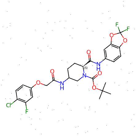 CC(C)(C)OC(=O)N1CC(NC(=O)COc2ccc(Cl)c(F)c2)CC[C@H]1C(=O)Nc1ccc2c(c1)OC(F)(F)O2